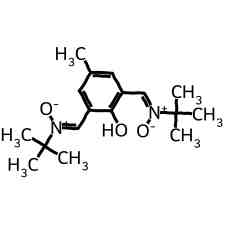 Cc1cc(C=[N+]([O-])C(C)(C)C)c(O)c(C=[N+]([O-])C(C)(C)C)c1